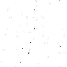 O=C(c1cccc(S(=O)(=O)O)c1)N(c1ccccc1)c1ccccc1